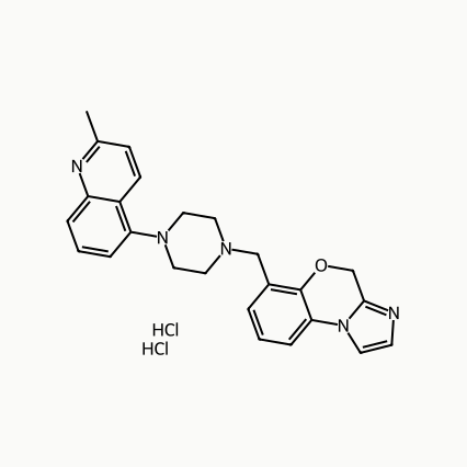 Cc1ccc2c(N3CCN(Cc4cccc5c4OCc4nccn4-5)CC3)cccc2n1.Cl.Cl